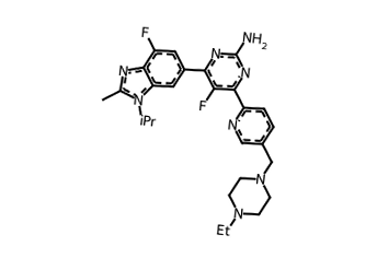 CCN1CCN(Cc2ccc(-c3nc(N)nc(-c4cc(F)c5nc(C)n(C(C)C)c5c4)c3F)nc2)CC1